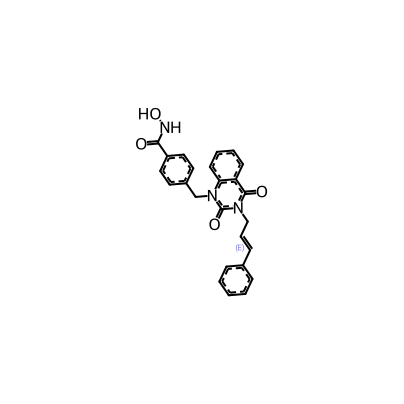 O=C(NO)c1ccc(Cn2c(=O)n(C/C=C/c3ccccc3)c(=O)c3ccccc32)cc1